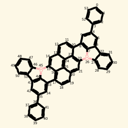 c1ccc(-c2cc3c4c(c2)-c2ccc5cc6c7c(ccc8cc(c2c5c87)B4c2ccccc2-3)-c2cc(-c3ccccc3)cc3c2B6c2ccccc2-3)cc1